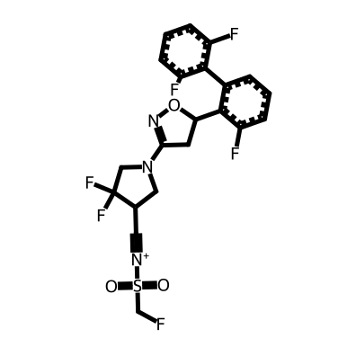 O=S(=O)(CF)[N+]#CC1CN(C2=NOC(c3c(F)cccc3-c3c(F)cccc3F)C2)CC1(F)F